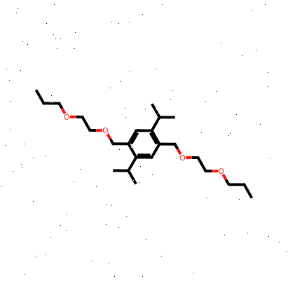 CCCOCCOCc1cc(C(C)C)c(COCCOCCC)cc1C(C)C